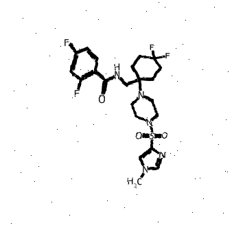 Cn1cnc(S(=O)(=O)N2CCN(C3(CNC(=O)c4ccc(F)cc4F)CCC(F)(F)CC3)CC2)c1